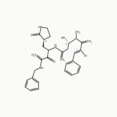 C=C(C[C@H](CCC)N(C)C(=C)/C(=C/c1ccccc1)CC)NC(C[C@@H]1CCNC1=O)C(=O)C(=C)NCc1ccccc1